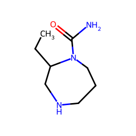 CCC1CNCCCN1C(N)=O